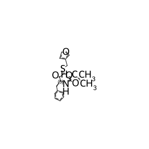 CC(C)(C)OC(=O)N[C@@H](Cc1ccccc1)C(=O)CSCc1ccoc1